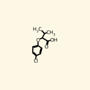 CC(C)C(Oc1ccc(Cl)cc1)C(=O)O